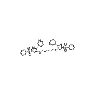 O=S(=O)(c1ccccc1)n1cc(SCCCCCSc2cn(S(=O)(=O)c3ccccc3)nc2-c2cccnc2)c(-c2cccnc2)n1